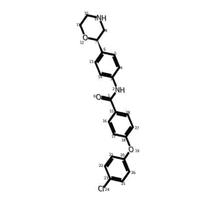 O=C(Nc1ccc([C@@H]2CNCCO2)cc1)c1ccc(Oc2ccc(Cl)cc2)cc1